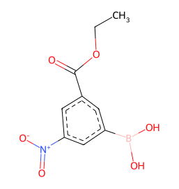 CCOC(=O)c1cc(B(O)O)cc([N+](=O)[O-])c1